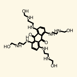 O=C1c2c(NCCNCO)ccc(NCCNCO)c2C(=O)c2c(NCCNCO)ccc(NCCNCO)c21